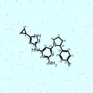 Nc1nc(Nc2cc(C3CC3)[nH]n2)cc(N2CCCC2c2ccc(F)cc2)n1